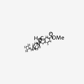 COC(=O)c1ccc(CC(=O)N2CCN(CC3CCC3)CC2)c(C)c1